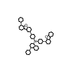 c1ccc(-c2ccc(N(c3ccc(-c4ccc5oc6c(-c7ccccc7)cccc6c5c4)cc3)c3ccc(-c4cccc5c4oc4ccccc45)cc3)c3ccccc23)cc1